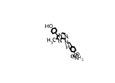 Cc1nc2c(NCc3ccc(S(N)(=O)=O)cc3)nccn2c1-c1ccc(O)cc1